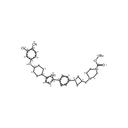 CC(C)(C)OC(=O)N1CCN(CC2CN(c3ccc(-c4ncc(C5CCC(Oc6ccc(C#N)c(Cl)c6)CC5)[nH]4)cc3)C2)CC1